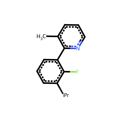 Cc1cccnc1-c1cccc(C(C)C)c1F